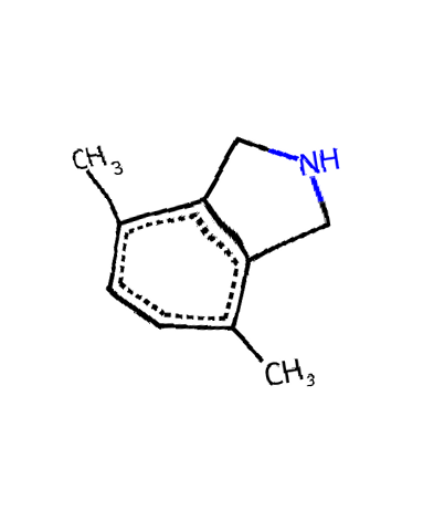 Cc1ccc(C)c2c1CNC2